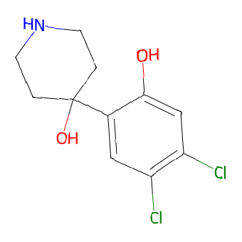 Oc1cc(Cl)c(Cl)cc1C1(O)CCNCC1